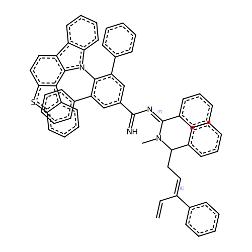 C=C/C(=C\CC(c1ccccc1)N(C)/C(=N\C(=N)c1cc(-c2ccccc2)c(-n2c3ccccc3c3ccc4sc5ccccc5c4c32)c(-c2ccccc2)c1)c1ccccc1)c1ccccc1